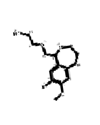 COc1cc2c(cc1Br)C(COCCO)OCCC2